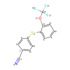 N#Cc1ccc(Sc2ccccc2OC(F)(F)F)cc1